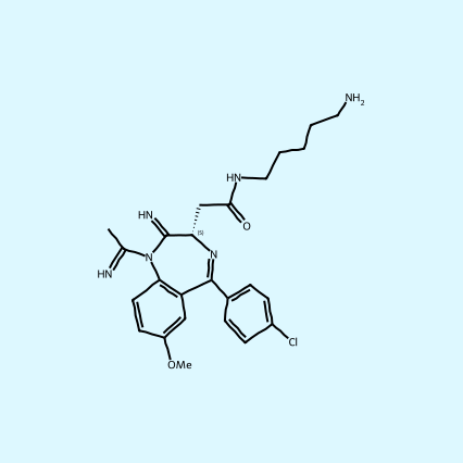 COc1ccc2c(c1)C(c1ccc(Cl)cc1)=N[C@@H](CC(=O)NCCCCCN)C(=N)N2C(C)=N